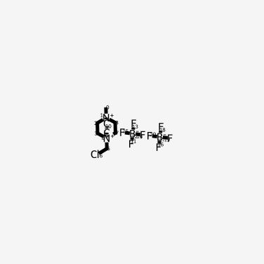 C[N+]12CC[N+](CCl)(CC1)CC2.F[B-](F)(F)F.F[B-](F)(F)F